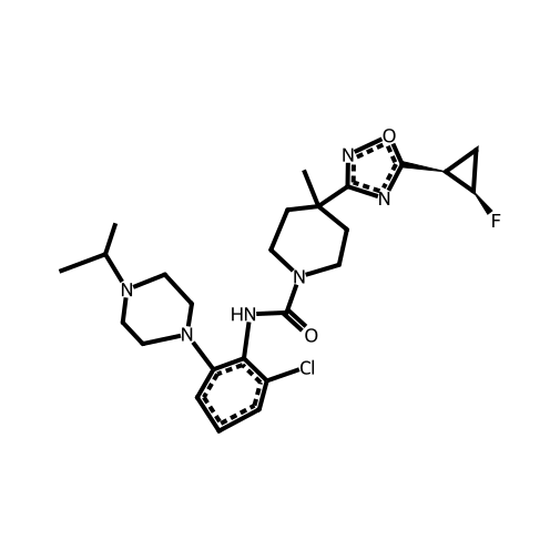 CC(C)N1CCN(c2cccc(Cl)c2NC(=O)N2CCC(C)(c3noc([C@H]4C[C@H]4F)n3)CC2)CC1